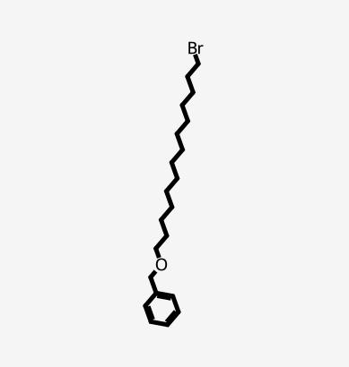 BrCCCCCCCCCCCCCCOCc1ccccc1